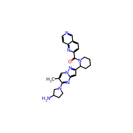 Cc1cn2nc(C3CCCCN3C(=O)c3ccc4cnccc4n3)cc2nc1N1CCC(N)C1